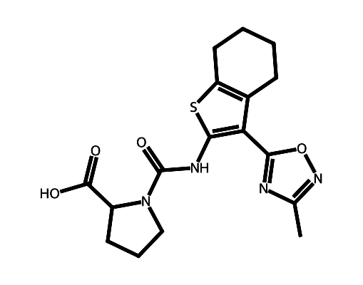 Cc1noc(-c2c(NC(=O)N3CCCC3C(=O)O)sc3c2CCCC3)n1